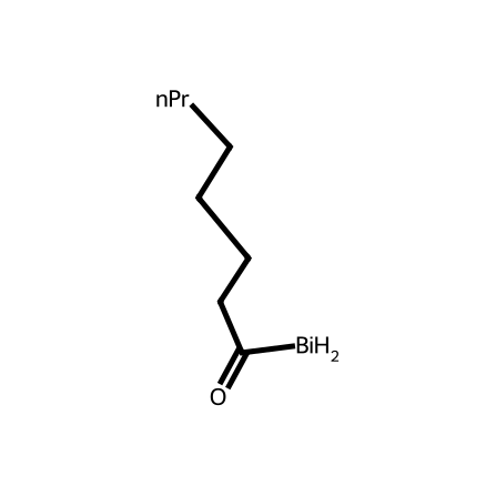 CCCCCCC[C](=O)[BiH2]